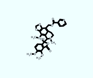 COc1ccc2c(c1OC)C(=O)OC2(O)C1c2c(c(COC(=O)c3cccnc3)c3c(c2OC)OCO3)CCN1C